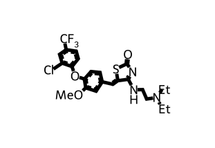 CCN(CC)CCNC1=NC(=O)S/C1=C\c1ccc(Oc2ccc(C(F)(F)F)cc2Cl)c(OC)c1